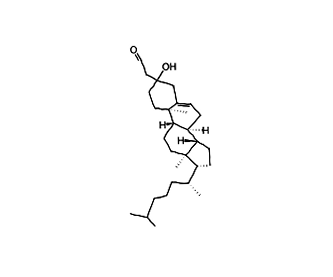 CC(C)CCC[C@@H](C)[C@H]1CC[C@H]2[C@@H]3CC=C4CC(O)(CC=O)CC[C@]4(C)[C@H]3CC[C@]12C